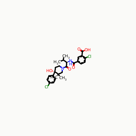 CC(C)[C@@H](NC(=O)c1ccc(Cl)c(C(=O)O)c1)C(=O)N1CC[C@](O)(c2ccc(Cl)cc2)C(C)(C)C1